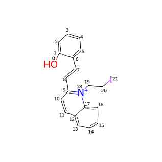 Oc1ccccc1C=Cc1ccc2ccccc2[n+]1CCI